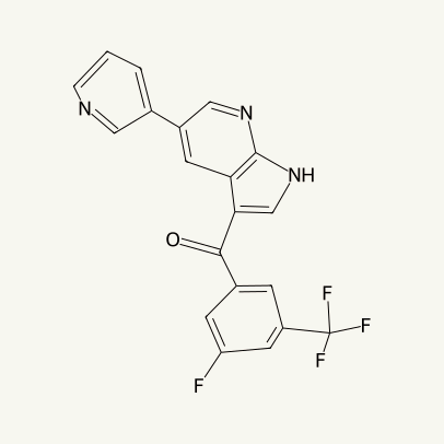 O=C(c1cc(F)cc(C(F)(F)F)c1)c1c[nH]c2ncc(-c3cccnc3)cc12